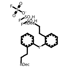 CCCCCCCCCCCCc1ccccc1[I+]c1ccccc1CCCCCCCCCCCC.O=S(=O)(O)F.O=S(=O)(O)F.O=S(=O)([O-])F